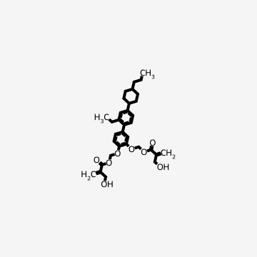 C=C(CO)C(=O)OCOc1ccc(-c2ccc(C3CCC(CCC)CC3)cc2CC)cc1OCOC(=O)C(=C)CO